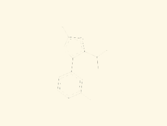 Fc1cccc(-c2oc(Cl)nc2C(F)F)c1